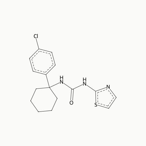 O=C(Nc1nccs1)NC1(c2ccc(Cl)cc2)CCCCC1